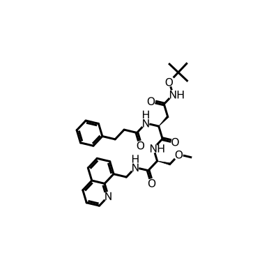 COC[C@H](NC(=O)[C@H](CC(=O)NOC(C)(C)C)NC(=O)CCc1ccccc1)C(=O)NCc1cccc2cccnc12